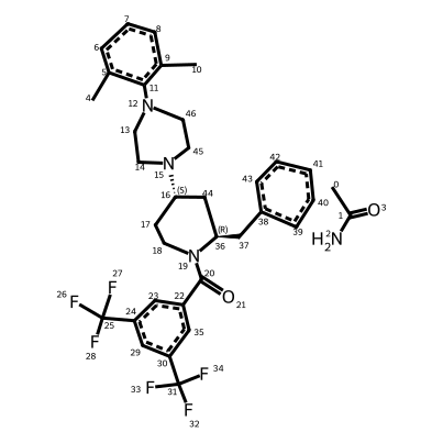 CC(N)=O.Cc1cccc(C)c1N1CCN([C@H]2CCN(C(=O)c3cc(C(F)(F)F)cc(C(F)(F)F)c3)[C@H](Cc3ccccc3)C2)CC1